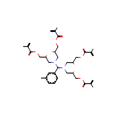 C=C(C)C(=O)OCC(O)CN(CC(O)COC(=O)C(=C)C)C(c1cccc(C)c1)N(CC(O)COC(=O)C(=C)C)CC(O)COC(=O)C(=C)C